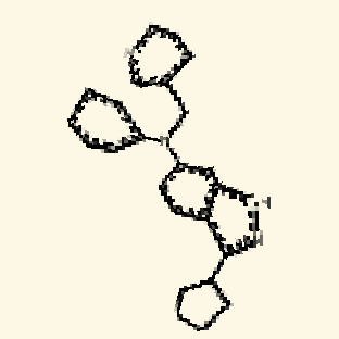 c1ccc(N(Cc2cccnc2)c2ccc3c(C4CCCC4)n[nH]c3c2)cc1